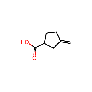 C=C1CCC(C(=O)O)C1